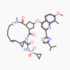 COc1ccc2c(OC3CC4C(=O)NC5(C(=O)NS(=O)(=O)C6CC6)CC5/C=C/CCCCN(C)C(=O)C4C3)cc(-c3nc(C(C)C)cs3)nc2c1C